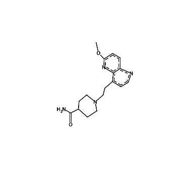 COc1ccc2nccc(CCN3CCC(C(N)=O)CC3)c2n1